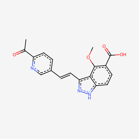 COc1c(C(=O)O)ccc2[nH]nc(C=Cc3ccc(C(C)=O)nc3)c12